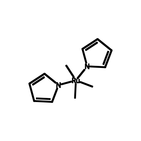 [CH3][Ru]([CH3])([CH3])([n]1cccc1)[n]1cccc1